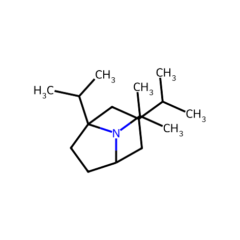 CC(C)C1CC2CCC(C(C)C)(C1)N2C(C)C